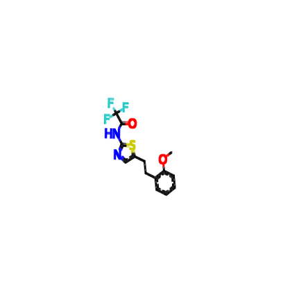 COc1ccccc1CCc1cnc(NC(=O)C(F)(F)F)s1